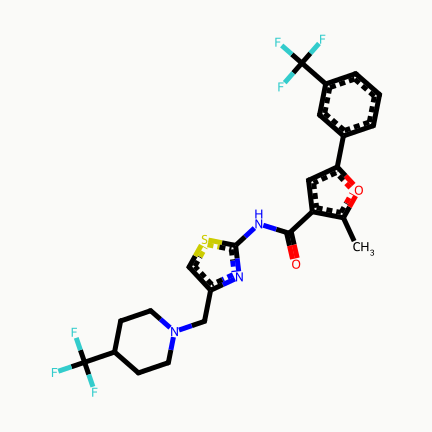 Cc1oc(-c2cccc(C(F)(F)F)c2)cc1C(=O)Nc1nc(CN2CCC(C(F)(F)F)CC2)cs1